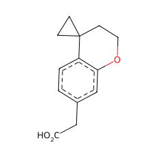 O=C(O)Cc1ccc2c(c1)OCCC21CC1